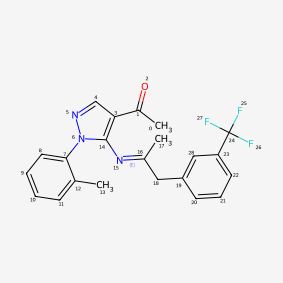 CC(=O)c1cnn(-c2ccccc2C)c1/N=C(\C)Cc1cccc(C(F)(F)F)c1